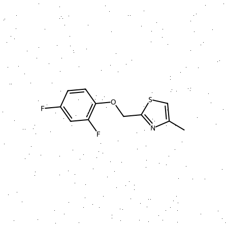 Cc1csc(COc2ccc(F)cc2F)n1